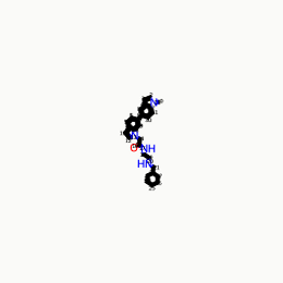 Cn1ccc2cc(-c3ccc4ccn(CC(=O)NCCNCC5CCCCC5)c4c3)ccc21